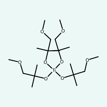 COCC(C)(C)[O][Ti]([O]C(C)(C)COC)([O]C(C)(C)COC)[O]C(C)(C)COC